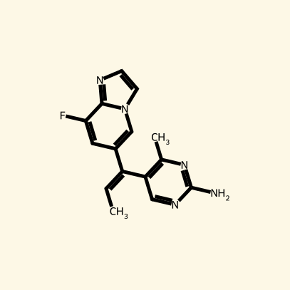 C/C=C(/c1cc(F)c2nccn2c1)c1cnc(N)nc1C